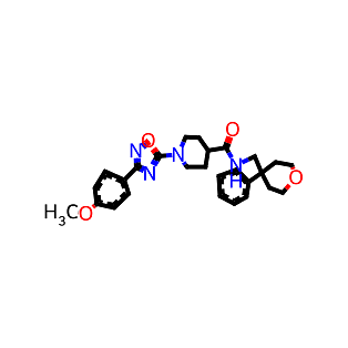 COc1ccc(-c2noc(N3CCC(C(=O)NCC4(c5ccccc5)CCOCC4)CC3)n2)cc1